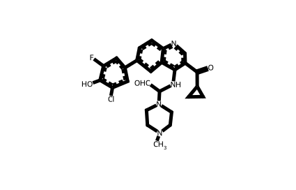 CN1CCN(C(C=O)Nc2c(C(=O)C3CC3)cnc3ccc(-c4cc(F)c(O)c(Cl)c4)cc23)CC1